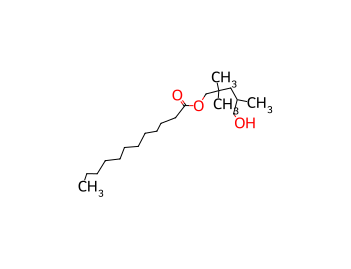 CCCCCCCCCCCC(=O)OCC(C)(C)CC(C)CO